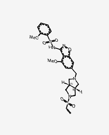 C=CS(=O)(=O)N1C[C@H]2CN(Cc3cc(OC)c4c(NS(=O)(=O)c5ccccc5OC)noc4c3)C[C@H]2C1